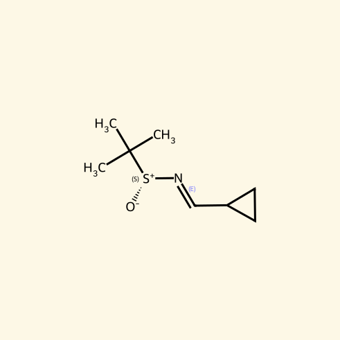 CC(C)(C)[S@@+]([O-])/N=C/C1CC1